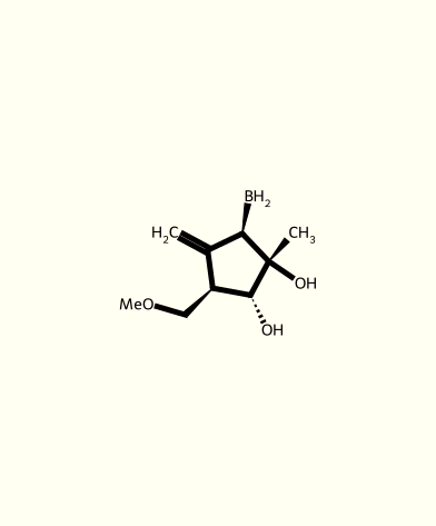 B[C@@H]1C(=C)[C@H](COC)[C@@H](O)[C@@]1(C)O